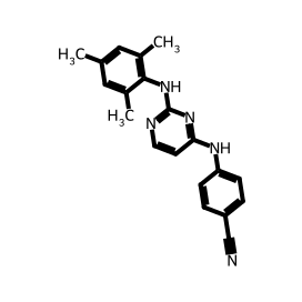 Cc1cc(C)c(Nc2nccc(Nc3ccc(C#N)cc3)n2)c(C)c1